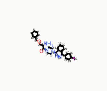 N[C@@H](COCc1ccccc1)C(=O)N1CCN(c2nnc(-c3ccc(I)cc3)c3ccccc23)CC1